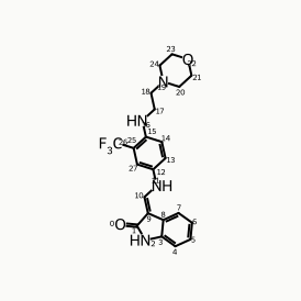 O=C1Nc2ccccc2C1=CNc1ccc(NCCN2CCOCC2)c(C(F)(F)F)c1